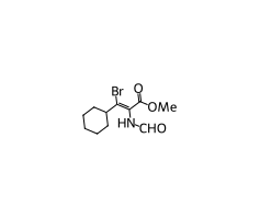 COC(=O)C(NC=O)=C(Br)C1CCCCC1